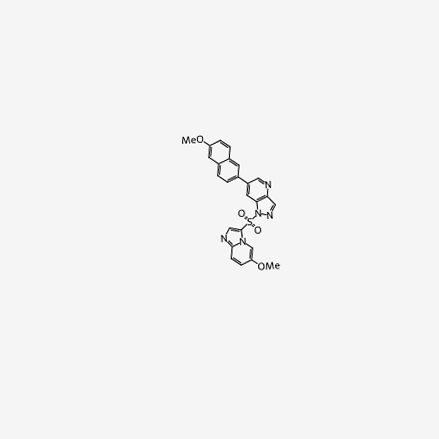 COc1ccc2cc(-c3cnc4cnn(S(=O)(=O)c5cnc6ccc(OC)cn56)c4c3)ccc2c1